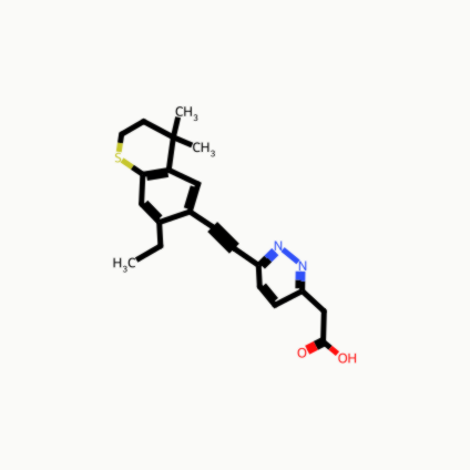 CCc1cc2c(cc1C#Cc1ccc(CC(=O)O)nn1)C(C)(C)CCS2